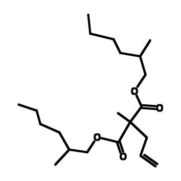 C=CCC(C)(C(=O)OCC(C)CCCC)C(=O)OCC(C)CCCC